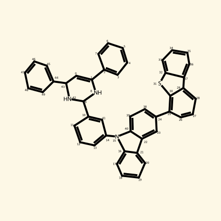 C1=C(c2ccccc2)NC(c2cccc(-n3c4ccccc4c4cc(-c5cccc6c5sc5ccccc56)ccc43)c2)NC1c1ccccc1